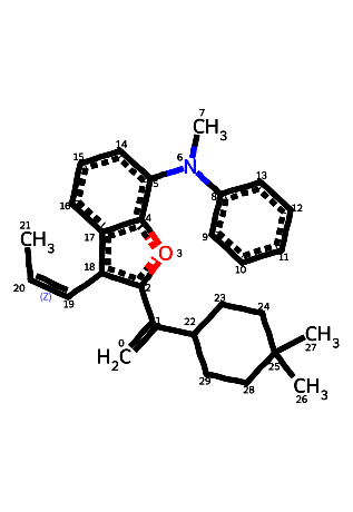 C=C(c1oc2c(N(C)c3ccccc3)cccc2c1/C=C\C)C1CCC(C)(C)CC1